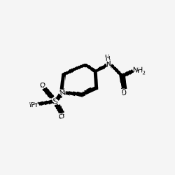 CC(C)S(=O)(=O)N1CCC(NC(N)=O)CC1